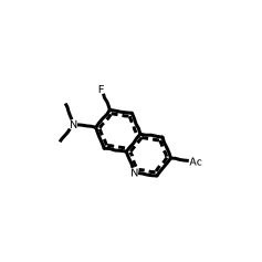 CC(=O)c1cnc2cc(N(C)C)c(F)cc2c1